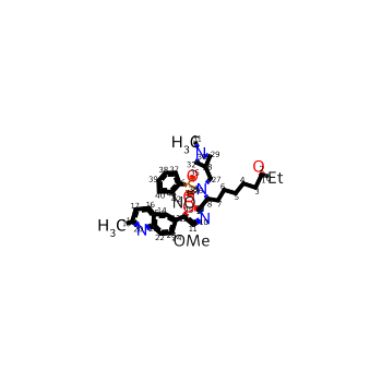 CCC(=O)CCCCCC(c1ncc(-c2cc3ccc(C)nc3cc2OC)o1)N(CC1CN(C)C1)S(=O)(=O)c1ccccc1[N+](=O)[O-]